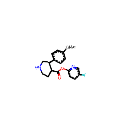 COc1ccc(C2CNCCC2C(=O)Oc2ccc(F)cn2)cc1